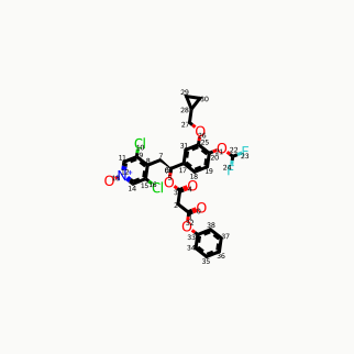 O=C(CC(=O)O[C@@H](Cc1c(Cl)c[n+]([O-])cc1Cl)c1ccc(OC(F)F)c(OCC2CC2)c1)Oc1ccccc1